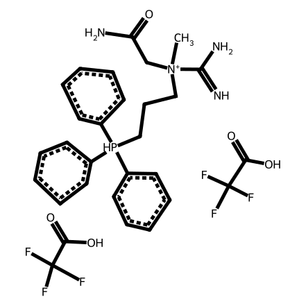 C[N+](CCC[PH](c1ccccc1)(c1ccccc1)c1ccccc1)(CC(N)=O)C(=N)N.O=C(O)C(F)(F)F.O=C(O)C(F)(F)F